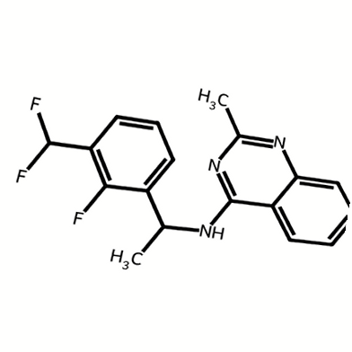 Cc1nc(NC(C)c2cccc(C(F)F)c2F)c2ccccc2n1